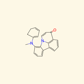 CN(C1=CC=CCC1)c1cccc2c3cccc4c(=O)ccn(c12)c43